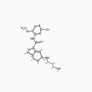 COc1ccc(Cl)cc1NC(=O)c1csc2cnc(NCCCO)nc12